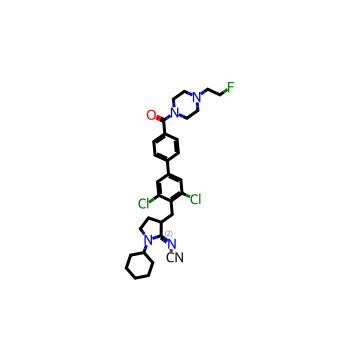 N#C/N=C1/C(Cc2c(Cl)cc(-c3ccc(C(=O)N4CCN(CCF)CC4)cc3)cc2Cl)CCN1C1CCCCC1